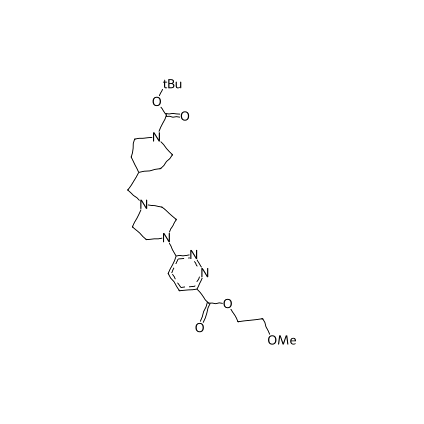 COCCOC(=O)c1ccc(N2CCN(CC3CCN(C(=O)OC(C)(C)C)CC3)CC2)nn1